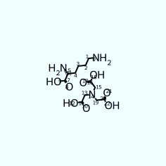 NCCCC[C@H](N)C(=O)O.O=C(O)CN(CC(=O)O)CC(=O)O